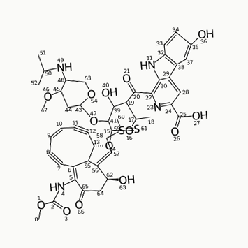 COC(=O)NC1=C2C#C/C=C\C#C[C@H](OC3OC(C)C(C(=O)c4nc(C(=O)O)cc5c4[nH]c4ccc(O)cc45)C(O)C3OC3CC(OC)C(NC(C)C)CO3)C2/C(=C\CS(C)=S)[C@@H](O)CC1=O